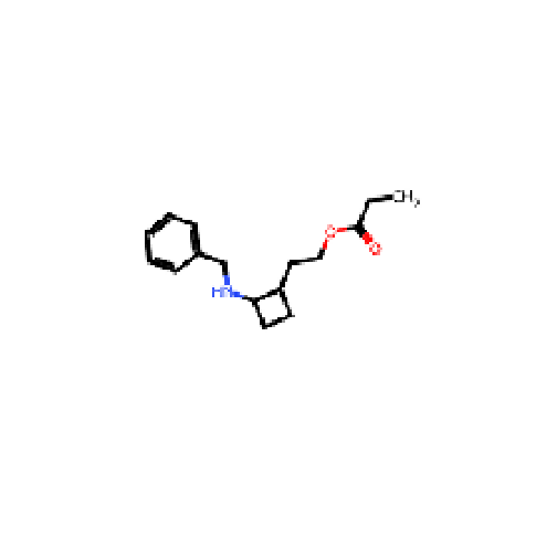 CCC(=O)OCCC1CCC1NCc1ccccc1